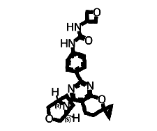 O=C(Nc1ccc(-c2nc3c(c(N4[C@@H]5CC[C@H]4COC5)n2)CCC2(CC2)O3)cc1)NC1COC1